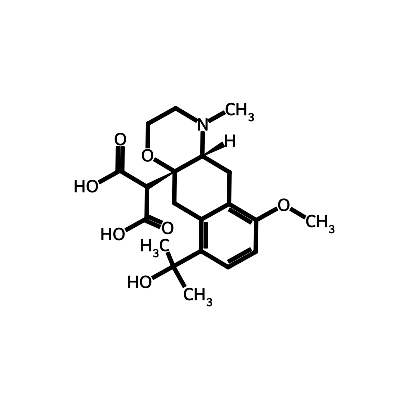 COc1ccc(C(C)(C)O)c2c1C[C@H]1N(C)CCO[C@@]1(C(C(=O)O)C(=O)O)C2